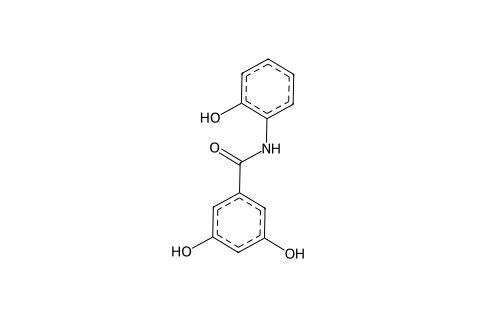 O=C(Nc1ccccc1O)c1cc(O)cc(O)c1